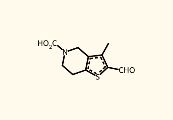 Cc1c(C=O)sc2c1CN(C(=O)O)CC2